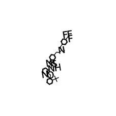 CN(CCc1ccc2nc(Nc3cccnc3Oc3ccccc3C(C)(C)C)sc2c1)Cc1ccc(C(F)(F)F)cc1